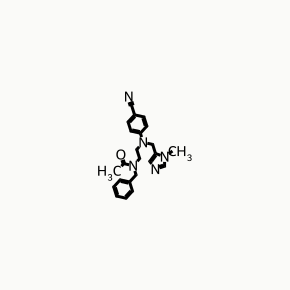 CC(=O)N(CCN(Cc1cncn1C)c1ccc(C#N)cc1)Cc1ccccc1